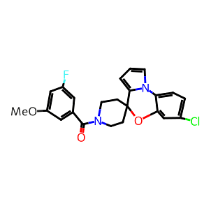 COc1cc(F)cc(C(=O)N2CCC3(CC2)Oc2cc(Cl)ccc2-n2cccc23)c1